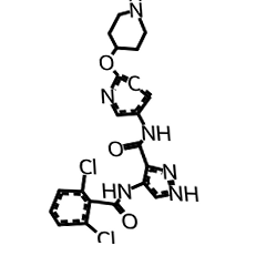 O=C(Nc1ccc(OC2CCNCC2)nc1)c1n[nH]cc1NC(=O)c1c(Cl)cccc1Cl